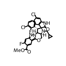 COC(=O)c1cc2c3n(nc2cc1F)[C@@H]1[C@H](CO3)N(CC2CC2)[C@@]2(C(=O)Nc3cc(Cl)ccc32)[C@H]1c1cccc(Cl)c1F